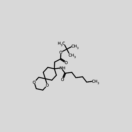 CCCCCC(=O)NC1(CC(=O)OC(C)(C)C)CCC2(CC1)COCCO2